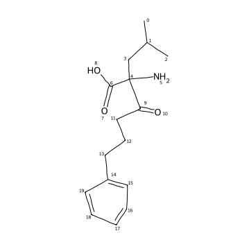 CC(C)CC(N)(C(=O)O)C(=O)CCCc1ccccc1